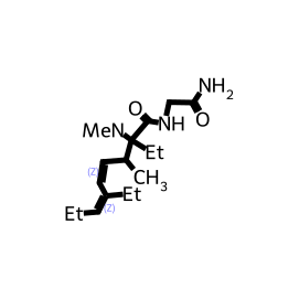 CC/C=C(\C=C/C(C)C(CC)(NC)C(=O)NCC(N)=O)CC